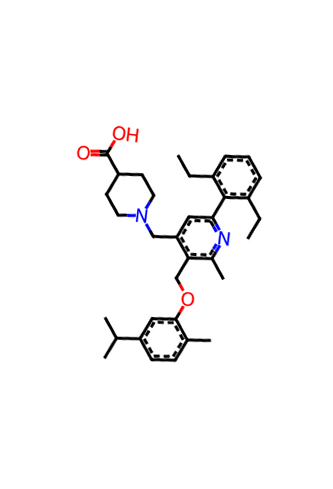 CCc1cccc(CC)c1-c1cc(CN2CCC(C(=O)O)CC2)c(COc2cc(C(C)C)ccc2C)c(C)n1